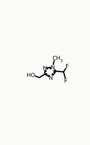 Cn1nc(CO)nc1C(F)F